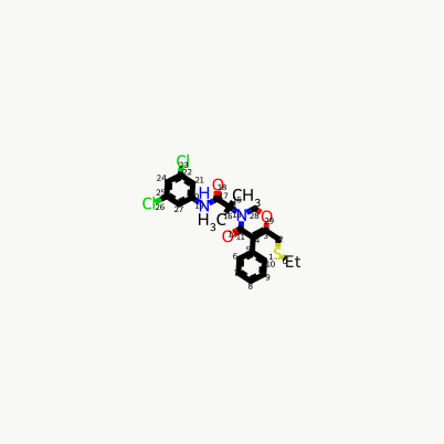 CCSCC1=C(c2ccccc2)C(=O)N(C(C)(C)C(=O)Nc2cc(Cl)cc(Cl)c2)CO1